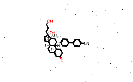 C[C@]12C[C@H](c3ccc(-c4ccc(C#N)cc4)cc3)[C@H]3[C@@H](CCC4=CC(=O)CC[C@@H]43)[C@@H]1C=C[C@@]2(O)CCCO